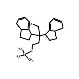 CCC(CCO[Si](C)(C)C)(C1CCC2CC=CC=C21)C1CCC2CC=CC=C21